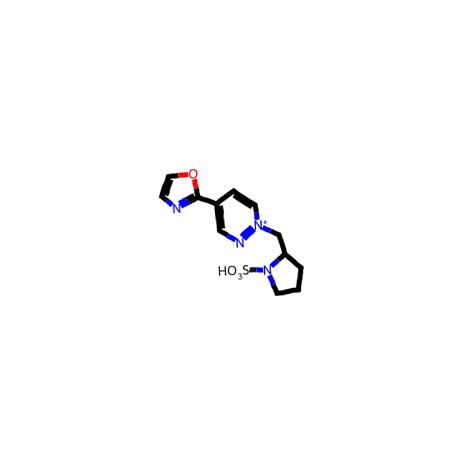 O=S(=O)(O)N1CCCC1C[n+]1ccc(-c2ncco2)cn1